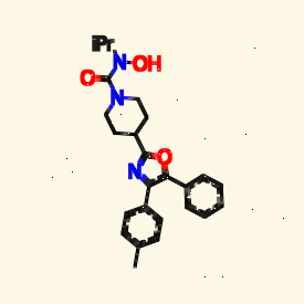 Cc1ccc(-c2nc(C3CCN(C(=O)N(O)C(C)C)CC3)oc2-c2ccccc2)cc1